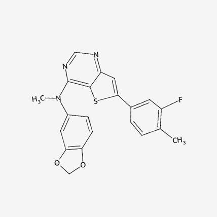 Cc1ccc(-c2cc3ncnc(N(C)c4ccc5c(c4)OCO5)c3s2)cc1F